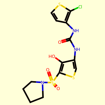 O=C(Nc1ccsc1Cl)Nc1csc(S(=O)(=O)N2CCCC2)c1O